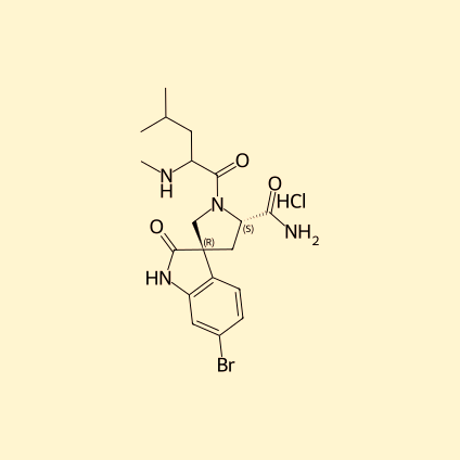 CNC(CC(C)C)C(=O)N1C[C@]2(C[C@H]1C(N)=O)C(=O)Nc1cc(Br)ccc12.Cl